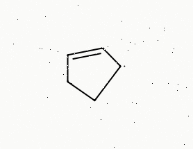 [CH]1C=CCC1